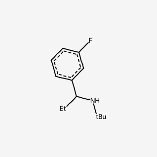 CCC(NC(C)(C)C)c1cccc(F)c1